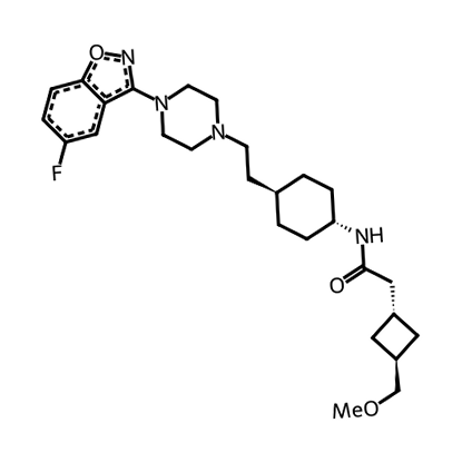 COC[C@H]1C[C@H](CC(=O)N[C@H]2CC[C@H](CCN3CCN(c4noc5ccc(F)cc45)CC3)CC2)C1